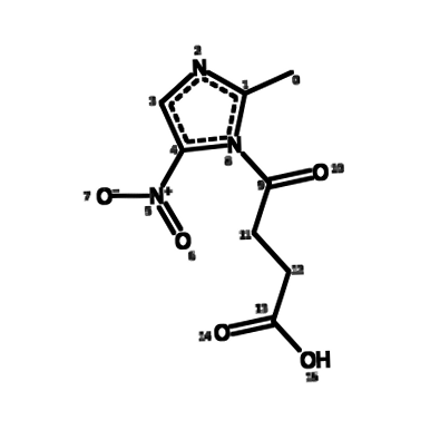 Cc1ncc([N+](=O)[O-])n1C(=O)CCC(=O)O